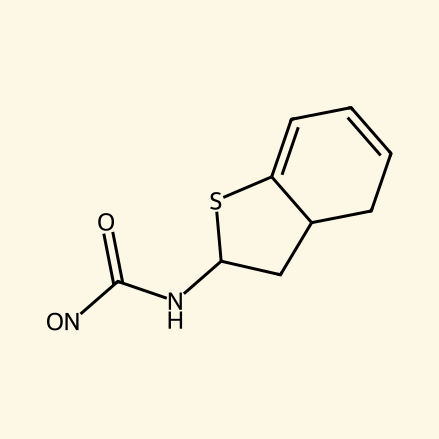 O=NC(=O)NC1CC2CC=CC=C2S1